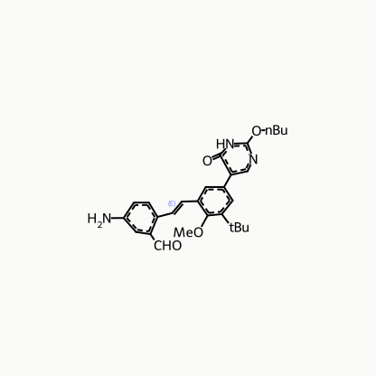 CCCCOc1ncc(-c2cc(/C=C/c3ccc(N)cc3C=O)c(OC)c(C(C)(C)C)c2)c(=O)[nH]1